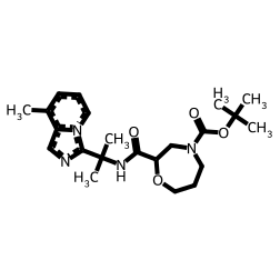 Cc1cccn2c(C(C)(C)NC(=O)C3CN(C(=O)OC(C)(C)C)CCCO3)ncc12